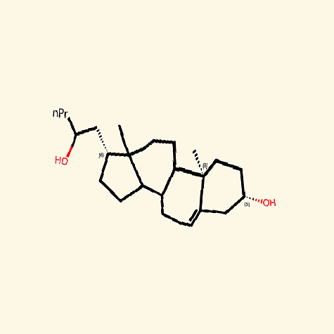 CCCC(O)C[C@H]1CCC2C3CC=C4C[C@@H](O)CC[C@]4(C)C3CCC21C